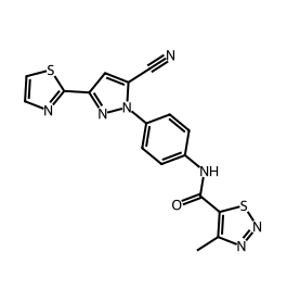 Cc1nnsc1C(=O)Nc1ccc(-n2nc(-c3nccs3)cc2C#N)cc1